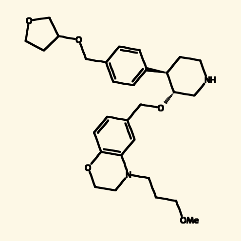 COCCCN1CCOc2ccc(CO[C@H]3CNCC[C@@H]3c3ccc(COC4CCOC4)cc3)cc21